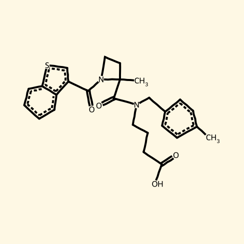 Cc1ccc(CN(CCCC(=O)O)C(=O)C2(C)CCN2C(=O)c2csc3ccccc23)cc1